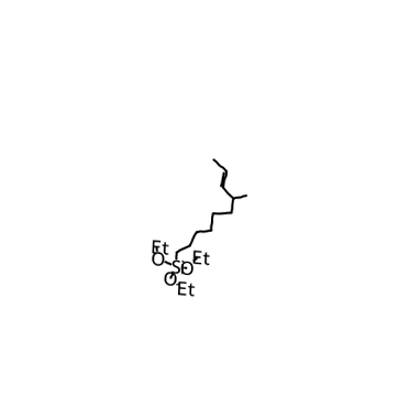 CC=CC(C)CCCCCC[Si](OCC)(OCC)OCC